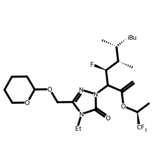 C=C(O[C@@H](C)C(F)(F)F)C([C@@H](F)[C@@H](C)[C@H](C)[C@@H](C)CC)n1nc(COC2CCCCO2)n(CC)c1=O